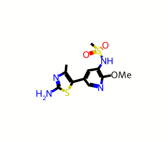 COc1ncc(-c2sc(N)nc2C)cc1NS(C)(=O)=O